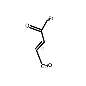 CC(C)C(=O)/C=C/C=O